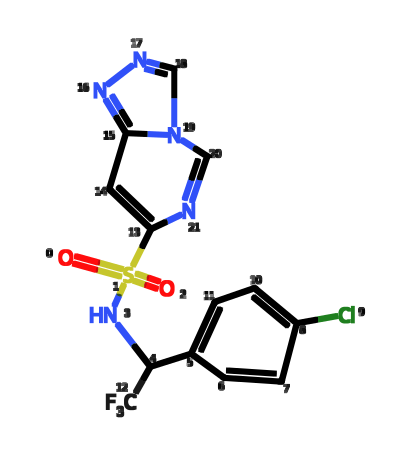 O=S(=O)(NC(c1ccc(Cl)cc1)C(F)(F)F)c1cc2nncn2cn1